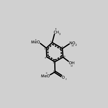 COC(=O)c1cc(OC)c(C)c([N+](=O)[O-])c1O